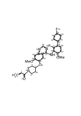 C=CC(=O)N1CCC(Oc2cc3c(Nc4c(OC)ccc(-c5ccc(F)cc5)c4F)ncnc3cc2OC)CC1